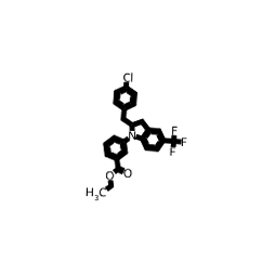 CCOC(=O)c1cccc(N2c3ccc(C(F)(F)F)cc3CC2Cc2ccc(Cl)cc2)c1